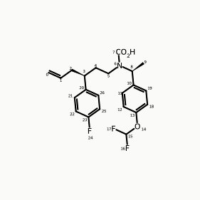 C=CC[C@@H](CCN(C(=O)O)[C@@H](C)c1ccc(OC(F)F)cc1)c1ccc(F)cc1